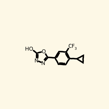 Oc1nnc(-c2ccc(C3CC3)c(C(F)(F)F)c2)o1